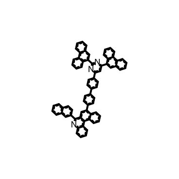 c1ccc2cc(-c3nc4ccccc4c4c3cc(-c3ccc(-c5ccc(-c6cc(-c7cc8ccccc8c8ccccc78)nc(-c7cc8ccccc8c8ccccc78)n6)cc5)cc3)c3ccccc34)ccc2c1